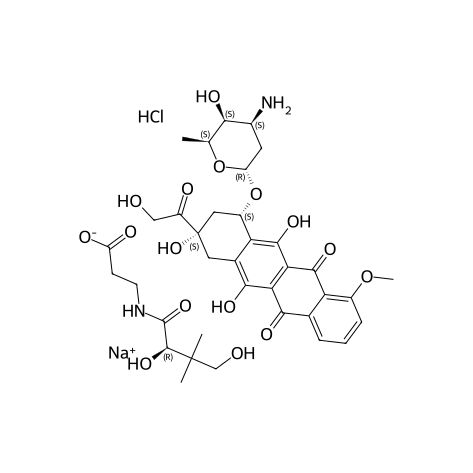 CC(C)(CO)[C@@H](O)C(=O)NCCC(=O)[O-].COc1cccc2c1C(=O)c1c(O)c3c(c(O)c1C2=O)C[C@@](O)(C(=O)CO)C[C@@H]3O[C@H]1C[C@H](N)[C@H](O)[C@H](C)O1.Cl.[Na+]